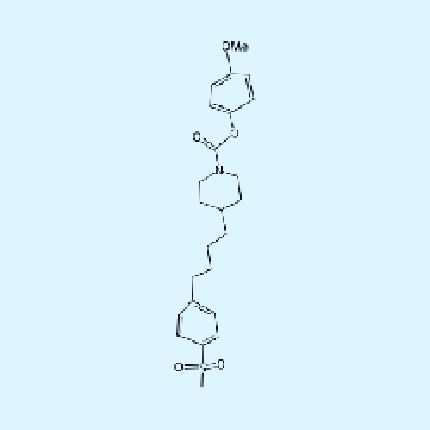 COc1ccc(OC(=O)N2CCC(CCCCc3ccc(S(C)(=O)=O)cc3)CC2)cc1